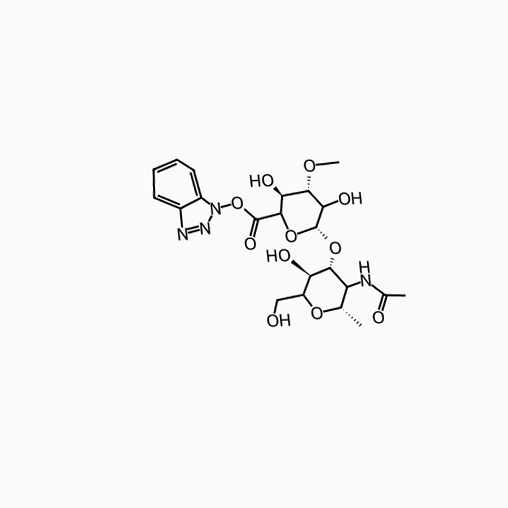 CO[C@@H]1C(O)[C@H](O[C@@H]2C(NC(C)=O)[C@H](C)OC(CO)[C@H]2O)OC(C(=O)On2nnc3ccccc32)[C@H]1O